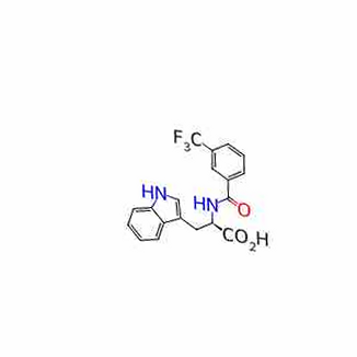 O=C(N[C@H](Cc1c[nH]c2ccccc12)C(=O)O)c1cccc(C(F)(F)F)c1